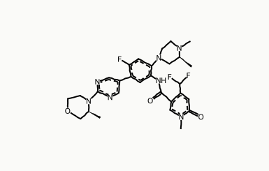 C[C@H]1CN(c2cc(F)c(-c3cnc(N4CCOC[C@@H]4C)nc3)cc2NC(=O)c2cn(C)c(=O)cc2C(F)F)CCN1C